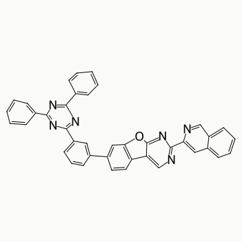 c1ccc(-c2nc(-c3ccccc3)nc(-c3cccc(-c4ccc5c(c4)oc4nc(-c6cc7ccccc7cn6)ncc45)c3)n2)cc1